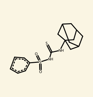 O=S(=O)(NC(=S)NC12CC3CC(CC(C3)C1)C2)c1ccccc1